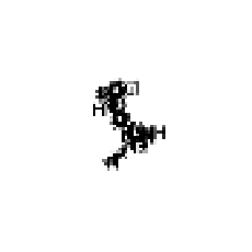 Cc1n[nH]c2nc(-c3ccc(NS(=O)(=O)c4cc(Cl)ccc4F)cc3)nc(NCCCN(C)C)c12